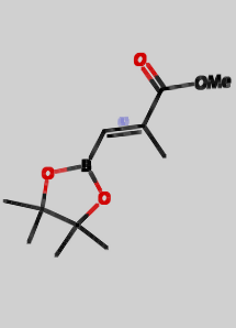 COC(=O)/C(C)=C/B1OC(C)(C)C(C)(C)O1